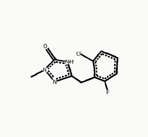 Cn1nc(Cc2c(F)cccc2Cl)[nH]c1=O